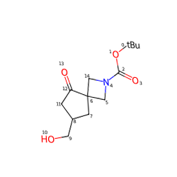 CC(C)(C)OC(=O)N1CC2(CC(CO)CC2=O)C1